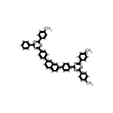 Cc1ccc(-c2nc(-c3ccccc3)nc(-c3ccc(-c4ccc5ccc(-c6ccc(-c7nc(-c8ccc(C)cc8)nc(-c8ccc(C)cc8)n7)cc6)cc5c4)cc3)n2)cc1